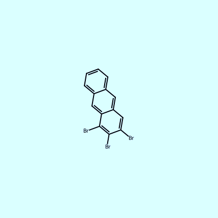 Brc1cc2cc3ccccc3cc2c(Br)c1Br